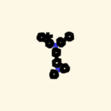 CC1(C)c2ccccc2-c2ccc(N(c3ccc(C4=CCCC=C4)cc3)c3ccc(C4=Cc5c(n(-c6ccccc6)c6ccccc56)CC4)cc3)cc21